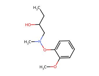 CCC(O)CN(C)Oc1ccccc1OC